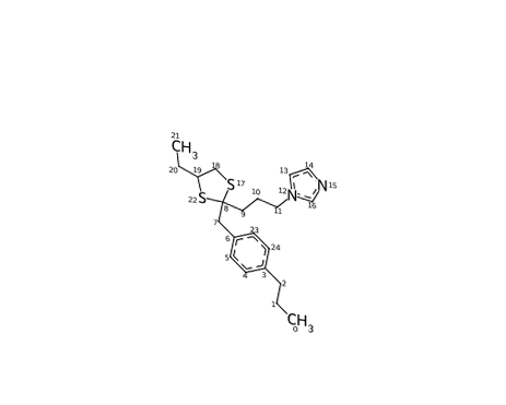 CCCc1ccc(CC2(CCCn3ccnc3)SCC(CC)S2)cc1